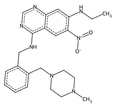 CCNc1cc2ncnc(NCc3ccccc3CN3CCN(C)CC3)c2cc1[N+](=O)[O-]